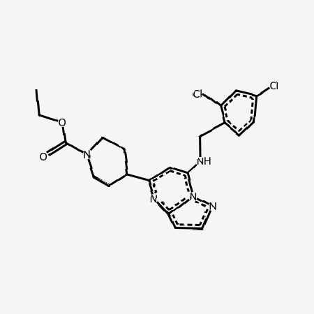 CCOC(=O)N1CCC(c2cc(NCc3ccc(Cl)cc3Cl)n3nccc3n2)CC1